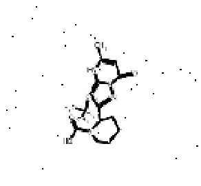 Cc1cc(=O)n2nc([C@@]3(C(C)(C)C)CCCCN3C(=O)O)cc2[nH]1